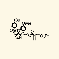 CCOC(=O)CNC(=O)OCCOc1ncnc(NS(=O)(=O)c2ccc(C(C)(C)C)cc2)c1Oc1cccc(OC)c1